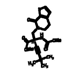 COC(=O)N[C@](C#C[Si](C)(C)C)(CN1CCc2ccsc2C1=O)C(=O)OC